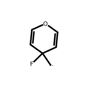 [CH2]C1(F)C=COC=C1